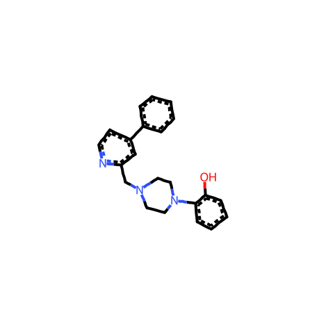 Oc1ccccc1N1CCN(Cc2cc(-c3ccccc3)ccn2)CC1